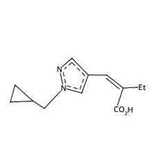 CCC(=Cc1cnn(CC2CC2)c1)C(=O)O